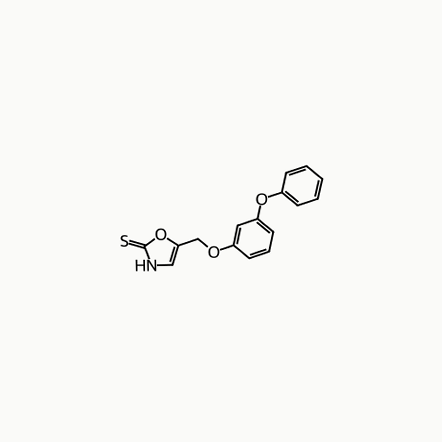 S=c1[nH]cc(COc2cccc(Oc3ccccc3)c2)o1